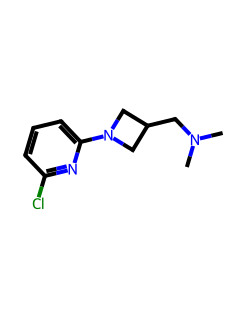 CN(C)CC1CN(c2cccc(Cl)n2)C1